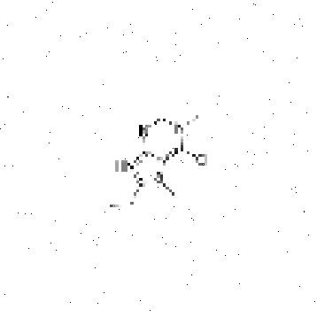 CCc1[nH]c2c(c1C)=C(Cl)N(I)CN=2